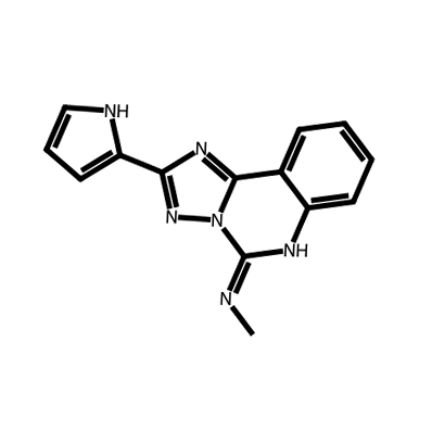 CN=c1[nH]c2ccccc2c2nc(-c3ccc[nH]3)nn12